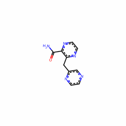 NC(=O)c1nccnc1Cc1cnccn1